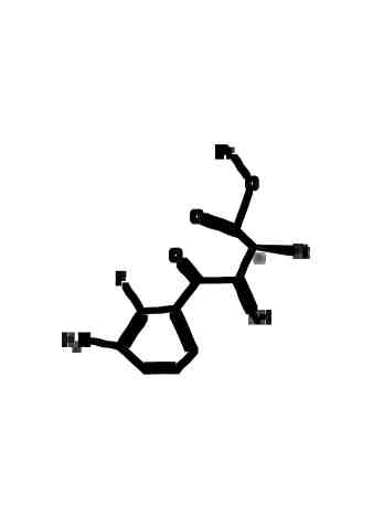 CC[C@@H](C(=N)C(=O)c1cccc(N)c1F)C(=O)OC(C)C